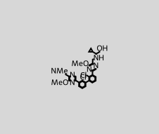 CNCc1ncc(-c2cccc(-c3cccc(-c4cnc(CNC(CO)C5CC5)c(OC)n4)c3Cl)c2Cl)nc1OC